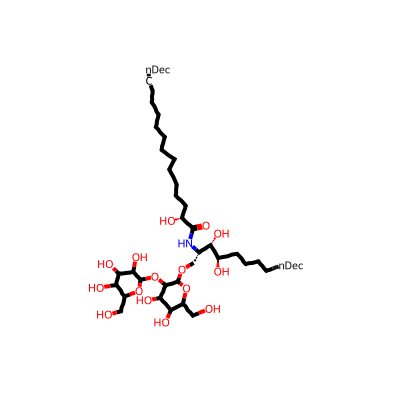 CCCCCCCCCCCCCCCCCCCCCC[C@@H](O)C(=O)N[C@@H](COC1OC(CO)C(O)C(O)C1OC1OC(CO)C(O)C(O)C1O)[C@H](O)[C@H](O)CCCCCCCCCCCCCC